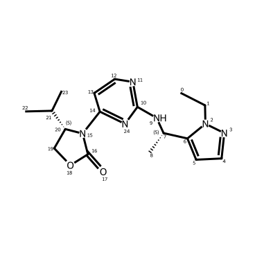 CCn1nccc1[C@H](C)Nc1nccc(N2C(=O)OC[C@@H]2C(C)C)n1